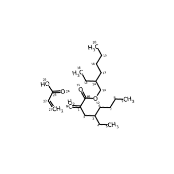 C=C(CC(CC)CCCC)C(=O)OCC(CC)CCCC.C=CC(=O)O